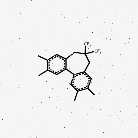 Cc1cc2c(cc1C)-c1cc(C)c(C)cc1CC(C(F)(F)F)(C(F)(F)F)C2